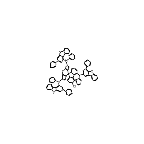 Clc1ccc2c(c1)-c1c(C(c3ccccc3)c3cc(-c4ccccc4)c4oc5ccccc5c4c3)cccc1C21c2ccc(N(c3ccccc3)c3cc(-c4ccccc4)cc4sc5ccccc5c34)cc2Sc2cc(N(c3ccccc3)c3cc(-c4ccccc4)cc4sc5ccccc5c34)ccc21